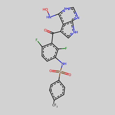 O=C(c1c(F)ccc(NS(=O)(=O)c2ccc(C(F)(F)F)cc2)c1F)c1c[nH]c2ncnc(NO)c12